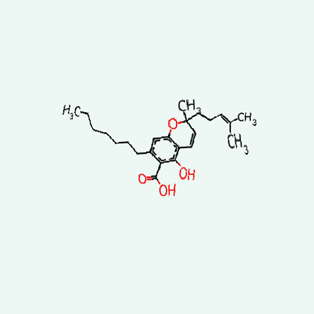 CCCCCCCc1cc2c(c(O)c1C(=O)O)C=CC(C)(CCC=C(C)C)O2